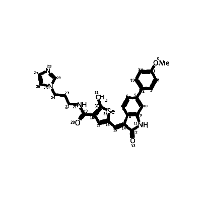 COc1ccc(-c2ccc3c(c2)NC(=O)C3=Cc2cc(C(=O)NCCCn3ccnc3)c(C)[se]2)cc1